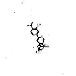 COc1cc(-c2cc3c(cn2)[C@@H]2C[C@H](C3)C2(C)C)ccc1C(C)C